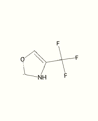 FC(F)(F)C1=CO[CH]N1